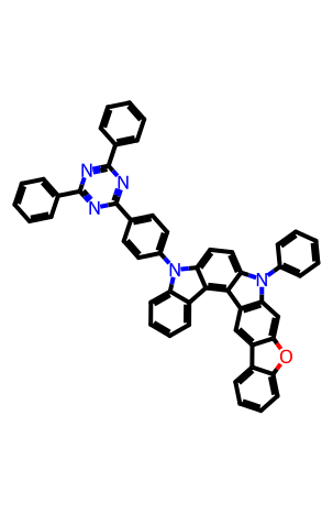 c1ccc(-c2nc(-c3ccccc3)nc(-c3ccc(-n4c5ccccc5c5c6c7cc8c(cc7n(-c7ccccc7)c6ccc54)oc4ccccc48)cc3)n2)cc1